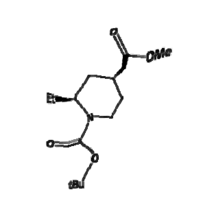 CC[C@H]1C[C@@H](C(=O)OC)CCN1C(=O)OC(C)(C)C